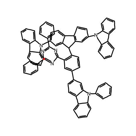 c1ccc(-c2nc(-c3ccccc3)nc(-c3cc(-c4ccc5c6ccccc6n(-c6ccccc6)c5c4)ccc3C3c4cc(-n5c6ccccc6c6ccccc65)ccc4-c4ccc(-n5c6ccccc6c6ccccc65)cc43)n2)cc1